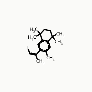 C/C(=C/I)c1cc2c(cc1C)C(C)(C)CCC2(C)C